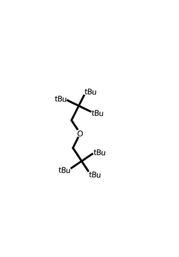 CC(C)(C)C(COCC(C(C)(C)C)(C(C)(C)C)C(C)(C)C)(C(C)(C)C)C(C)(C)C